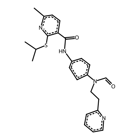 Cc1ccc(C(=O)Nc2ccc(N(C=O)CCc3ccccn3)cc2)c(SC(C)C)n1